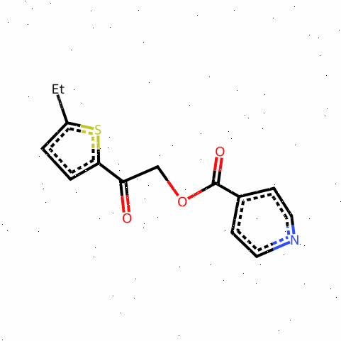 CCc1ccc(C(=O)COC(=O)c2ccncc2)s1